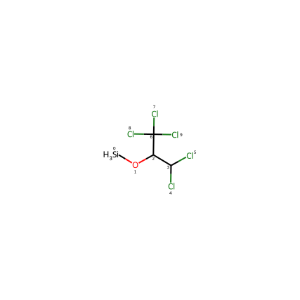 [SiH3]OC(C(Cl)Cl)C(Cl)(Cl)Cl